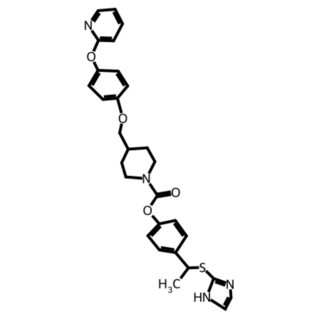 CC(Sc1ncc[nH]1)c1ccc(OC(=O)N2CCC(COc3ccc(Oc4ccccn4)cc3)CC2)cc1